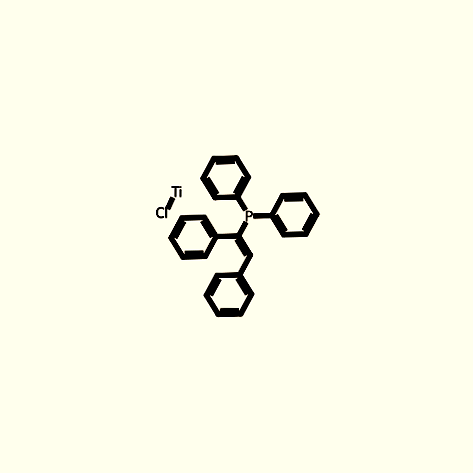 C(=C(c1ccccc1)P(c1ccccc1)c1ccccc1)c1ccccc1.[Cl][Ti]